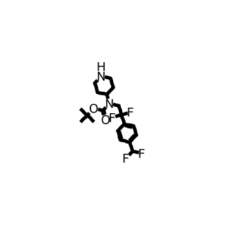 CC(C)(C)OC(=O)N(CC(F)(F)c1ccc(C(F)F)cc1)C1CCNCC1